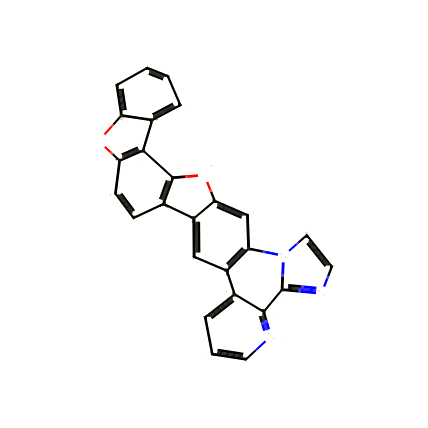 c1ccc2c(c1)oc1ccc3c4cc5c6cccnc6c6nccn6c5cc4oc3c12